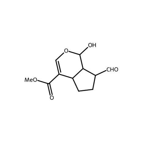 COC(=O)C1=COC(O)C2C(C=O)CCC12